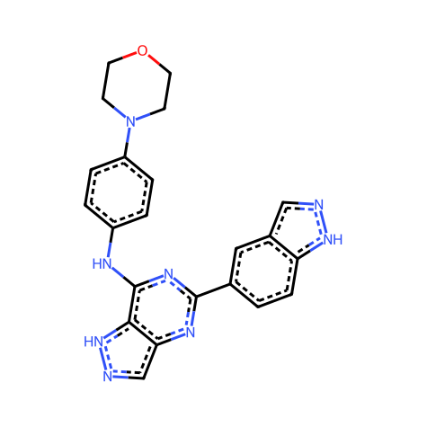 c1cc(N2CCOCC2)ccc1Nc1nc(-c2ccc3[nH]ncc3c2)nc2cn[nH]c12